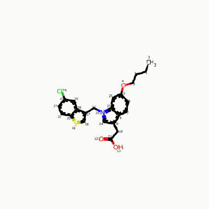 CCCCOc1ccc2c(CC(=O)O)cn(Cc3csc4ccc(Cl)cc34)c2c1